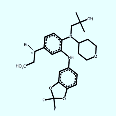 CC[C@@H](CC(=O)O)c1ccc(N(CC(C)(C)O)C2CCOCC2)c(Nc2ccc3c(c2)OC(F)(F)O3)c1